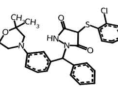 CC1(C)CN(c2cccc(C(c3ccccc3)N3NC(=O)C(Sc4ccccc4Cl)C3=O)c2)CCO1